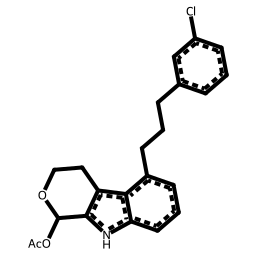 CC(=O)OC1OCCc2c1[nH]c1cccc(CCCc3cccc(Cl)c3)c21